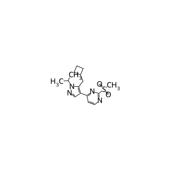 CC(C)n1ncc(-c2ccnc(S(C)(=O)=O)n2)c1CC1CCC1